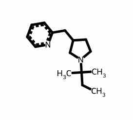 CCC(C)(C)N1CCC(Cc2ccccn2)C1